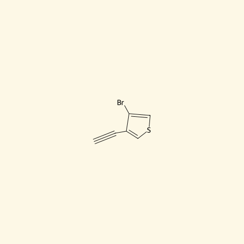 C#Cc1cscc1Br